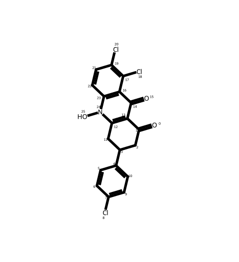 O=C1CC(c2ccc(Cl)cc2)Cc2c1c(=O)c1c(Cl)c(Cl)ccc1n2O